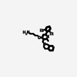 CCc1cccc(CC)c1-c1cc(OCCCCN)c(CN2CCc3ccccc3C2)c(C)n1